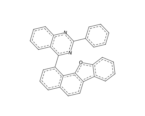 c1ccc(-c2nc(-c3cccc4ccc5c6ccccc6oc5c34)c3ccccc3n2)cc1